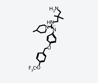 CC1CCN(/C(=N\c2ccc(OCc3ccc(OC(F)(F)F)cc3)cc2)NCC(C)(C)CN)CC1